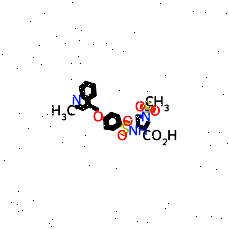 Cc1cc(COc2ccc(S(=O)(=O)NC3CN(S(C)(=O)=O)CC3C(=O)O)cc2)c2ccccc2n1